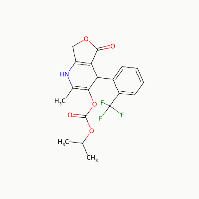 CC1=C(OC(=O)OC(C)C)C(c2ccccc2C(F)(F)F)C2=C(COC2=O)N1